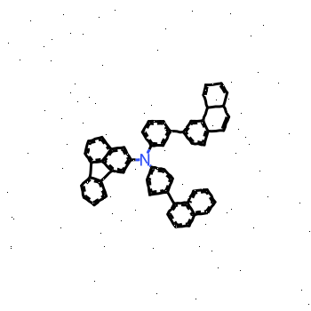 C1=CC2C=Cc3ccc(-c4cccc(N(c5ccc(-c6cccc7ccccc67)cc5)c5cc6c7c(cccc7c5)-c5ccccc5-6)c4)cc3C2C=C1